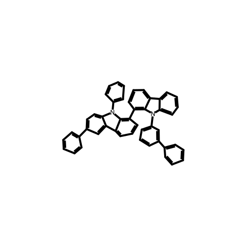 c1ccc(-c2cccc(-n3c4ccccc4c4cccc(-c5cccc6c7cc(-c8ccccc8)ccc7n(-c7ccccc7)c56)c43)c2)cc1